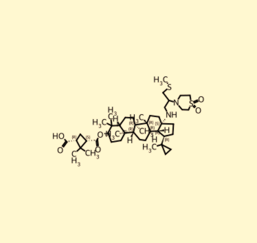 CSCC(CN[C@]12CC[C@@H](C3(C)CC3)[C@@H]1[C@H]1CC[C@@H]3[C@@]4(C)CC[C@H](OC(=O)[C@H]5C[C@@H](C(=O)O)C5(C)C)C(C)(C)[C@@H]4CC[C@@]3(C)[C@]1(C)CC2)N1CCS(=O)(=O)CC1